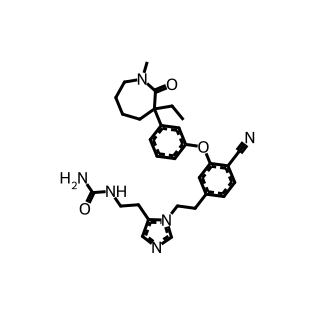 CCC1(c2cccc(Oc3cc(CCn4cncc4CCNC(N)=O)ccc3C#N)c2)CCCCN(C)C1=O